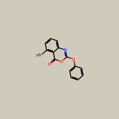 CCCc1cccc2nc(Oc3ccccc3)oc(=O)c12